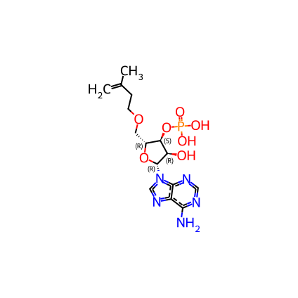 C=C(C)CCOC[C@H]1O[C@@H](n2cnc3c(N)ncnc32)[C@H](O)[C@@H]1OP(=O)(O)O